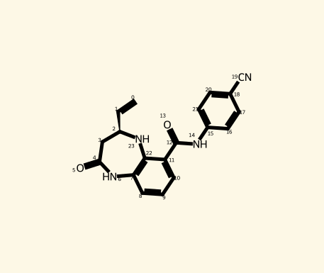 C=C[C@@H]1CC(=O)Nc2cccc(C(=O)Nc3ccc(C#N)cc3)c2N1